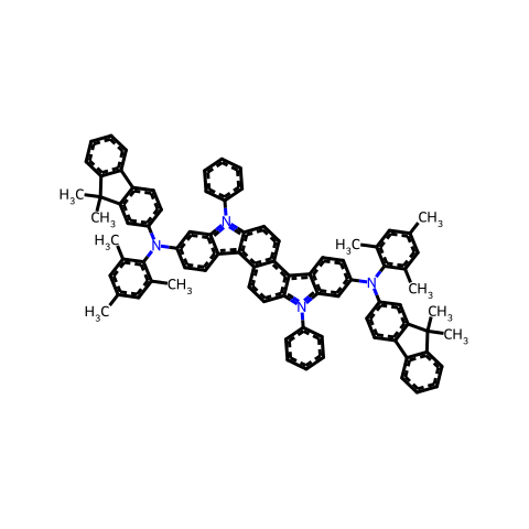 Cc1cc(C)c(N(c2ccc3c(c2)C(C)(C)c2ccccc2-3)c2ccc3c4c5ccc6c(c5ccc4n(-c4ccccc4)c3c2)c2ccc(N(c3ccc4c(c3)C(C)(C)c3ccccc3-4)c3c(C)cc(C)cc3C)cc2n6-c2ccccc2)c(C)c1